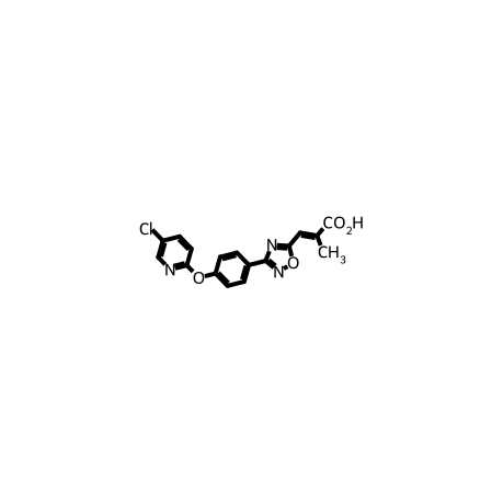 CC(=Cc1nc(-c2ccc(Oc3ccc(Cl)cn3)cc2)no1)C(=O)O